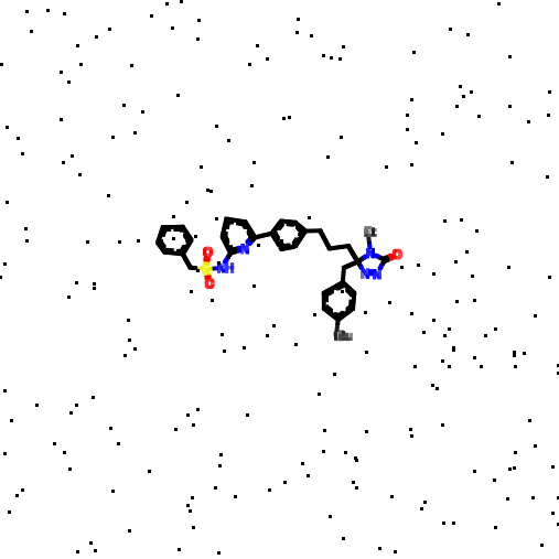 CCN1C(=O)N=NC1(CCCc1ccc(-c2cccc(NS(=O)(=O)Cc3ccccc3)n2)cc1)Cc1ccc(C(C)(C)C)cc1